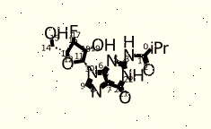 CC(C)C(=O)Nc1nc2c(ncn2[C@@H]2O[C@H](CO)C(F)[C@@H]2O)c(=O)[nH]1